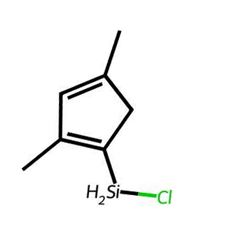 CC1=CC(C)=C([SiH2]Cl)C1